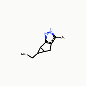 CSCC1C2Cc3c(n[nH]c3C(C)=O)C12